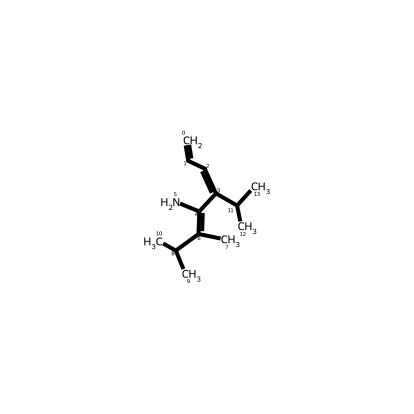 C=C/C=C(\C(N)=C(/C)C(C)C)C(C)C